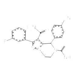 N#Cc1ccc(C2c3c(C(N)=O)c(-c4cccc(F)c4)nn3CCN2C(N)=O)cc1